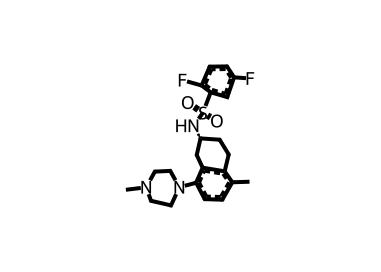 Cc1ccc(N2CCN(C)CC2)c2c1CC[C@@H](NS(=O)(=O)c1cc(F)ccc1F)C2